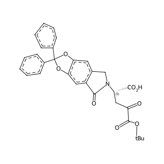 CC(C)(C)OC(=O)C(=O)C[C@@H](C(=O)O)N1Cc2cc3c(cc2C1=O)OC(c1ccccc1)(c1ccccc1)O3